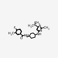 Cc1nc(NC2CCC(CNC(=O)c3ccc(F)c(C)c3)CC2)cc(N(C)C)n1